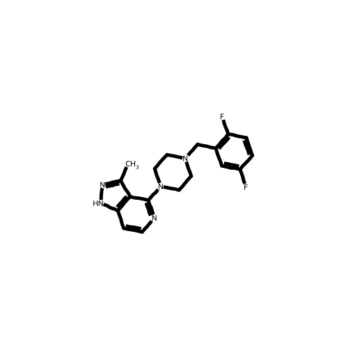 Cc1n[nH]c2ccnc(N3CCN(Cc4cc(F)ccc4F)CC3)c12